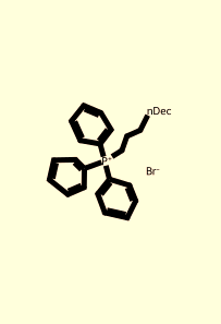 CCCCCCCCCCCCC[P+](c1ccccc1)(c1ccccc1)c1ccccc1.[Br-]